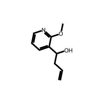 C=CCC(O)c1cccnc1OC